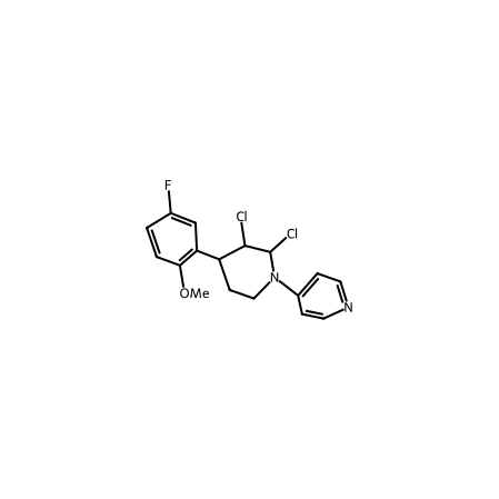 COc1ccc(F)cc1C1CCN(c2ccncc2)C(Cl)C1Cl